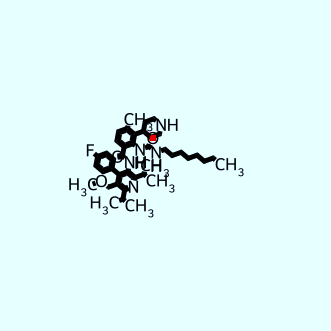 CCCCCCCCNC(=O)Nc1c(C(=O)Nc2c(C(C)C)nc(C(C)C)c(COC)c2-c2ccc(F)cc2)ccc(C)c1C1CCNCC1